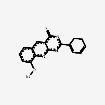 CCOc1cccc2cc3c(=S)nc(C4=CC=CCC4)nc-3oc12